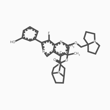 CC(C)(C)OC(=O)N1C2CCC1CN(c1nc(OCC34CCCN3CCC4)nc3c(F)c(-c4cccc(O)c4)ncc13)C2